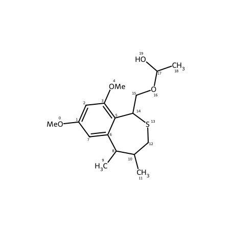 COc1cc(OC)c2c(c1)C(C)C(C)CSC2COC(C)O